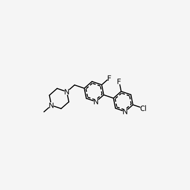 CN1CCN(Cc2cnc(-c3cnc(Cl)cc3F)c(F)c2)CC1